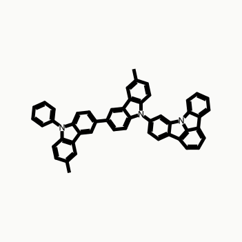 Cc1ccc2c(c1)c1cc(-c3ccc4c(c3)c3cc(C)ccc3n4-c3ccc4c5cccc6c7ccccc7n(c4c3)c65)ccc1n2-c1ccccc1